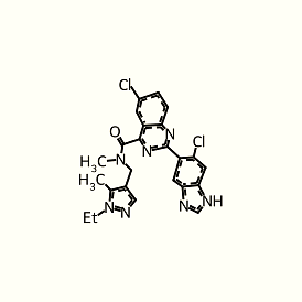 CCn1ncc(CN(C)C(=O)c2nc(-c3cc4nc[nH]c4cc3Cl)nc3ccc(Cl)cc23)c1C